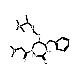 CC(OCO[C@@H]1CN(C(=O)CN(C)C)NC(=O)N[C@@H]1Cc1ccccc1)[Si](C)(C)C